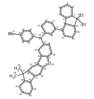 CCC1(CC)c2ccccc2-c2c(-c3cccc(N(c4ccc(C(C)(C)C)cc4)c4ccc5oc6cc7c(cc6c5c4)C(C)(C)c4ccccc4-7)c3)cccc21